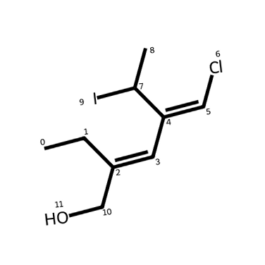 CC/C(=C\C(=C\Cl)C(C)I)CO